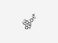 C=CCc1cccc(C(C)C)c1-n1c(=O)nc(N2C[C@@H](C)N(C(=O)OC(C)(C)C)C[C@@H]2C)c2cc(Cl)c(Cl)nc21